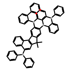 CC1(C)c2cc3c(cc2-c2c1cc(N(c1ccccc1)c1ccccc1)c1ccccc21)N(c1ccccc1-c1ccccc1)c1cccc2c1B3c1ccccc1N2c1ccccc1